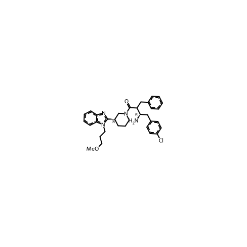 COCCCn1c([C@@H]2CCCN(C(=O)C(Cc3ccccc3)[C@H](N)Cc3ccc(Cl)cc3)C2)nc2ccccc21